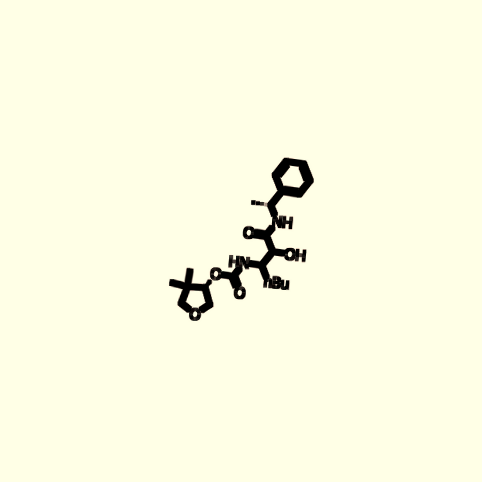 CCCCC(NC(=O)O[C@@H]1COCC1(C)C)C(O)C(=O)N[C@H](C)c1ccccc1